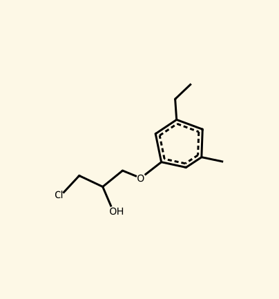 CCc1cc(C)cc(OCC(O)CCl)c1